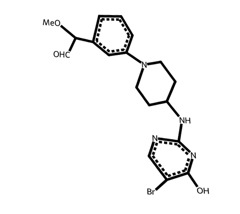 COC(C=O)c1cccc(N2CCC(Nc3ncc(Br)c(O)n3)CC2)c1